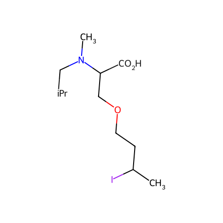 CC(C)CN(C)C(COCCC(C)I)C(=O)O